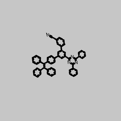 N#Cc1cccc(-c2cc(-c3ccc(C(=C(c4ccccc4)c4ccccc4)c4ccccc4)cc3)cc(-c3nc(-c4ccccc4)nc(-c4ccccc4)n3)c2)c1